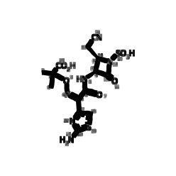 CC(C)(ON=C(C(=O)N[C@@H]1C(=O)N(S(=O)(=O)O)[C@@H]1CC#N)c1csc(N)n1)C(=O)O